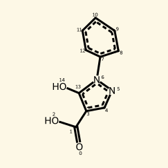 O=C(O)c1cnn(-c2ccccc2)c1O